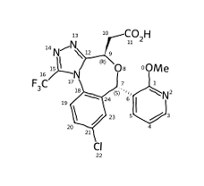 COc1ncccc1[C@H]1O[C@H](CC(=O)O)c2nnc(C(F)(F)F)n2-c2ccc(Cl)cc21